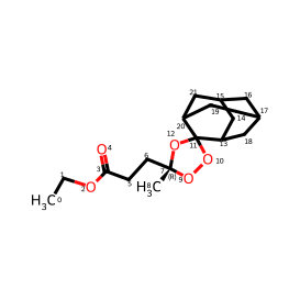 CCOC(=O)CC[C@@]1(C)OOC2(O1)C1CC3CC(C1)CC2C3